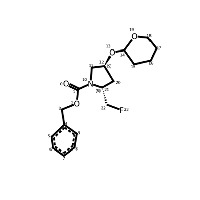 O=C(OCc1ccccc1)N1C[C@@H](OC2CCCCO2)C[C@@H]1CF